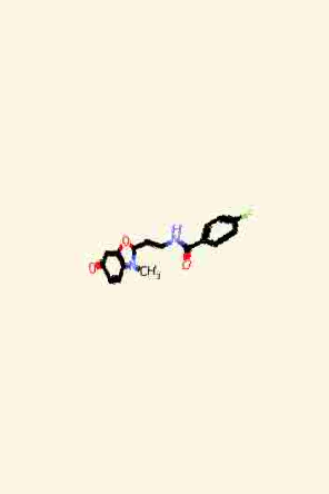 CN1C2=C(CC(=O)C=C2)OC1CCNC(=O)c1ccc(F)cc1